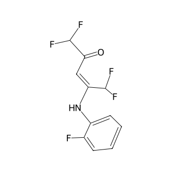 O=C(C=C(Nc1ccccc1F)C(F)F)C(F)F